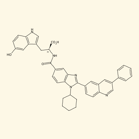 O=C(N[C@@H](Cc1c[nH]c2ccc(O)cc12)C(=O)O)c1ccc2c(c1)nc(-c1ccc3ncc(-c4ccccc4)cc3c1)n2C1CCCCC1